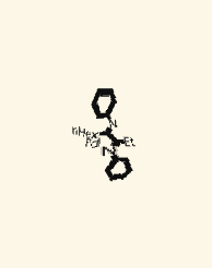 CCCCCCC(=N\c1ccccc1)/C(CC)=N/c1ccccc1.[Pd]